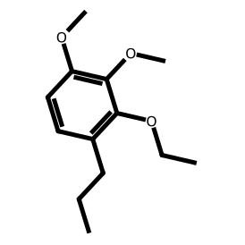 CCCc1ccc(OC)c(OC)c1OCC